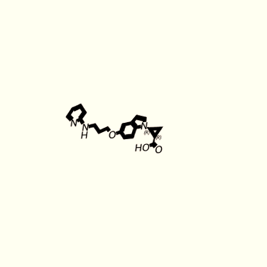 O=C(O)[C@@H]1C[C@H]1n1ccc2cc(OCCCNc3ccccn3)ccc21